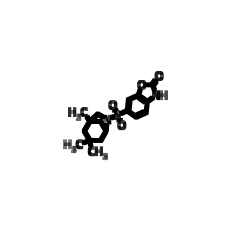 CC1(C)CC2CC(C)(CN2S(=O)(=O)c2ccc3[nH]c(=O)oc3c2)C1